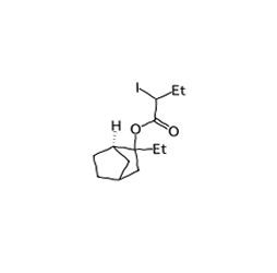 CCC(I)C(=O)OC1(CC)CC2CC[C@@H]1C2